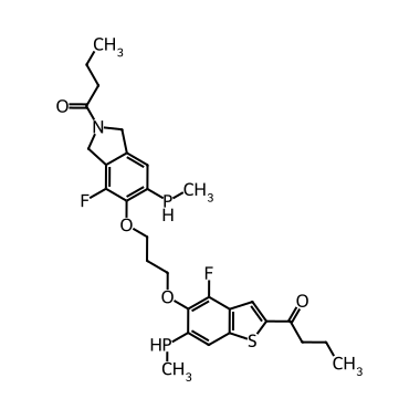 CCCC(=O)c1cc2c(F)c(OCCCOc3c(PC)cc4c(c3F)CN(C(=O)CCC)C4)c(PC)cc2s1